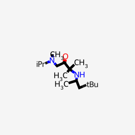 CC(CC(C)(C)C)NC(C)(C)C(=O)CN(C)C(C)C